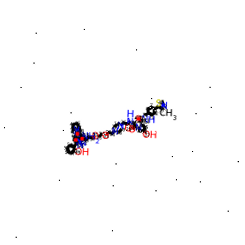 Cc1ncsc1-c1ccc(CNC(=O)[C@@H]2C[C@@H](O)CN2C(=O)C(NC(=O)CN2CCN(CCOCCOCCCc3cc(N4C5CCC4CN(c4cc(-c6ccccc6O)nnc4N)C5)ccn3)CC2)C(C)(C)C)cc1